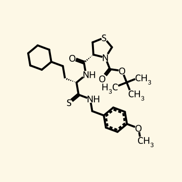 COc1ccc(CNC(=S)[C@H](CCC2CCCCC2)NC(=O)[C@@H]2CSCN2C(=O)OC(C)(C)C)cc1